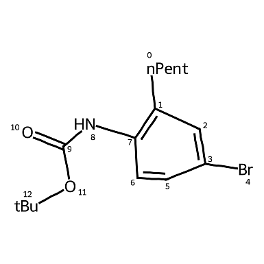 CCCCCc1cc(Br)ccc1NC(=O)OC(C)(C)C